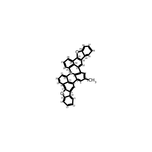 Cc1cc2c3c(c1)-c1cc4c5ccccc5oc4c4cccc(c14)B3c1cccc3c1c-2cc1c2ccccc2oc31